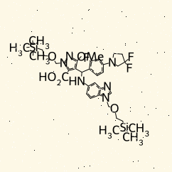 COc1nn(COCC[Si](C)(C)C)c(C(=O)O)c1C(Nc1ccc2c(c1)ncn2COCC[Si](C)(C)C)c1ccc(N2CCC(F)(F)C2)cc1F